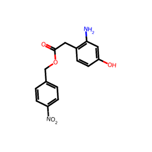 Nc1cc(O)ccc1CC(=O)OCc1ccc([N+](=O)[O-])cc1